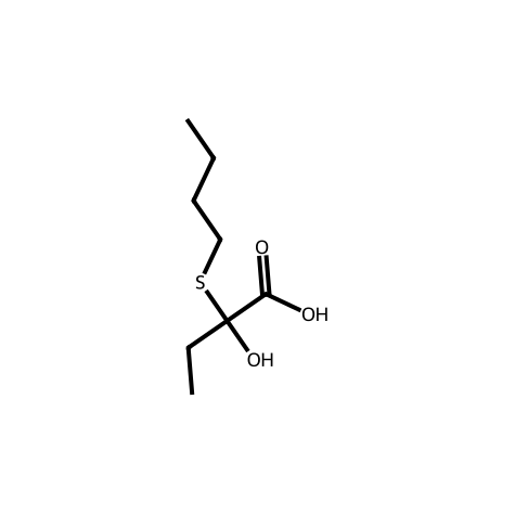 CCCCSC(O)(CC)C(=O)O